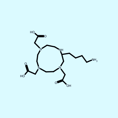 NCCCCC1CN(CC(=O)O)CCN(CC(=O)O)CCN(CC(=O)O)CCN1